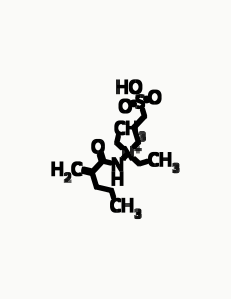 C=C(CCC)C(=O)N[N+](CC)(CC)CCCS(=O)(=O)O